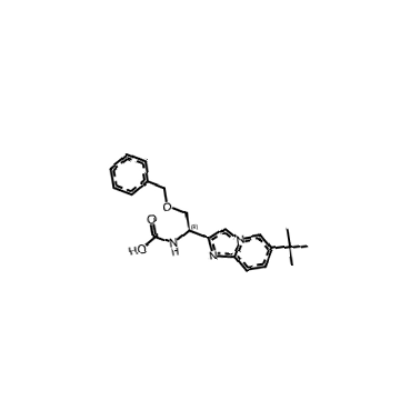 CC(C)(C)c1ccc2nc([C@H](COCc3ccccc3)NC(=O)O)cn2c1